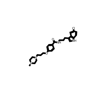 CN1CCN(CCCOc2ccc(C(=O)NCCCc3c[nH]c4ccc(Cl)cc34)cc2)CC1